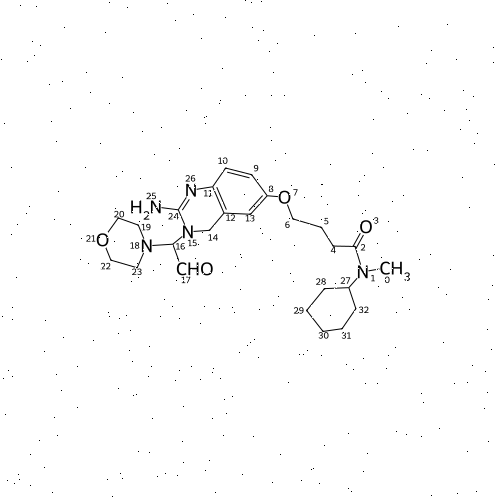 CN(C(=O)CCCOc1ccc2c(c1)CN(C(C=O)N1CCOCC1)C(N)=N2)C1CCCCC1